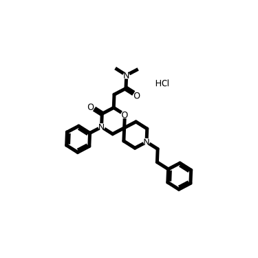 CN(C)C(=O)CC1OC2(CCN(CCc3ccccc3)CC2)CN(c2ccccc2)C1=O.Cl